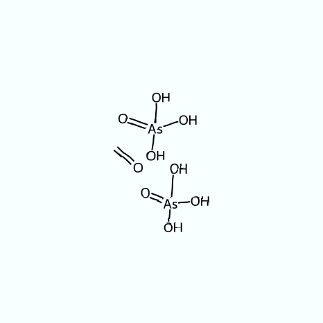 C=O.O=[As](O)(O)O.O=[As](O)(O)O